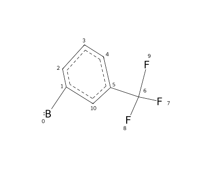 [B]c1cccc(C(F)(F)F)c1